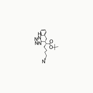 CC(C)(C)OC(=O)[C@@H](CCCCC#N)[C@H](Cc1ccccc1)c1nnn[nH]1